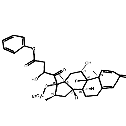 CCOC(=O)O[C@]1(C(=O)C(O)CC(=O)Oc2ccccc2)[C@H](C)C[C@H]2[C@@H]3CCC4=CC(=O)C=C[C@]4(C)[C@@]3(F)[C@@H](O)C[C@@]21C